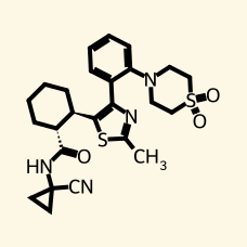 Cc1nc(-c2ccccc2N2CCS(=O)(=O)CC2)c([C@@H]2CCCC[C@H]2C(=O)NC2(C#N)CC2)s1